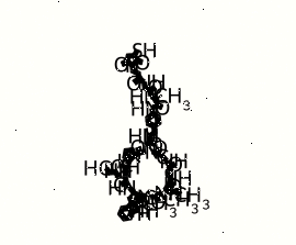 CC[C@H](C)[C@@H]1NC(=O)CNC(=O)[C@@H](Cc2c(SC)[nH]c3ccccc23)NC(=O)[C@H](C[C@@H](O)CO)NC[C@@H]2CCCN2C(=O)[C@H](CC(=O)NCc2ccc(NC(=O)[C@H](C)NC(=O)CNC(=O)CCN3C(=O)CC(S)C3=O)cc2)NC(=O)CNC(=O)CNC1=O